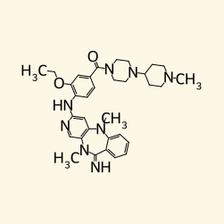 CCOc1cc(C(=O)N2CCN(C3CCN(C)CC3)CC2)ccc1Nc1cc2c(cn1)N(C)C(=N)c1ccccc1N2C